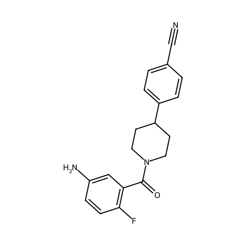 N#Cc1ccc(C2CCN(C(=O)c3cc(N)ccc3F)CC2)cc1